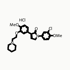 COc1ccc(N2CC=C(c3ccc(OC)c(OCCN4CCCCC4)c3)C2=O)cc1Cl.Cl